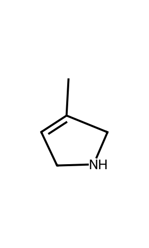 CC1=CCNC1